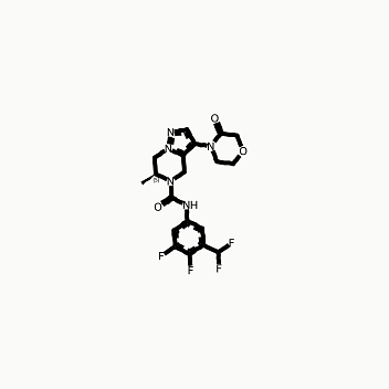 C[C@H]1Cn2ncc(N3CCOCC3=O)c2CN1C(=O)Nc1cc(F)c(F)c(C(F)F)c1